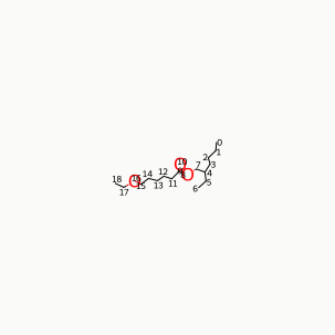 CCCCC(CC)COC(=O)CCCCCOCC